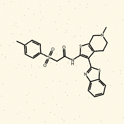 Cc1ccc(S(=O)(=O)CC(=O)Nc2sc3c(c2-c2nc4ccccc4s2)CCN(C)C3)cc1